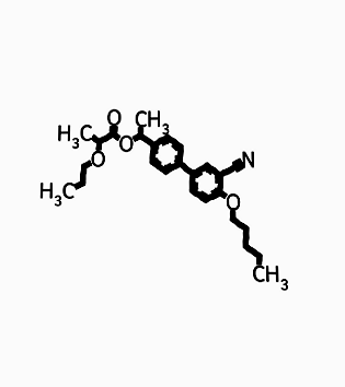 CCCCCOc1ccc(-c2ccc(C(C)OC(=O)C(C)OCCC)cc2)cc1C#N